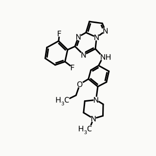 CCOc1cc(Nc2nc(-c3c(F)cccc3F)nc3ccnn23)ccc1N1CCN(C)CC1